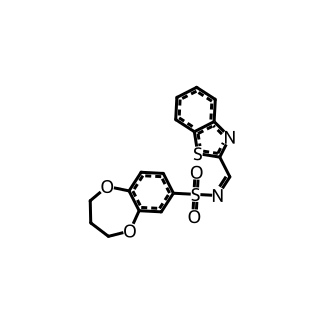 O=S(=O)(/N=C\c1nc2ccccc2s1)c1ccc2c(c1)OCCCO2